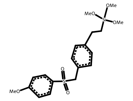 COc1ccc(S(=O)(=O)Cc2ccc(CC[Si](OC)(OC)OC)cc2)cc1